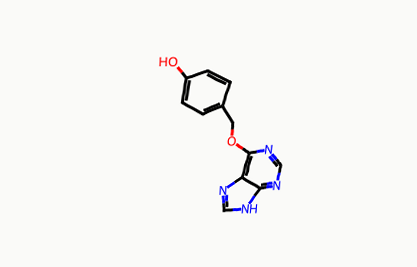 Oc1ccc(COc2ncnc3[nH]cnc23)cc1